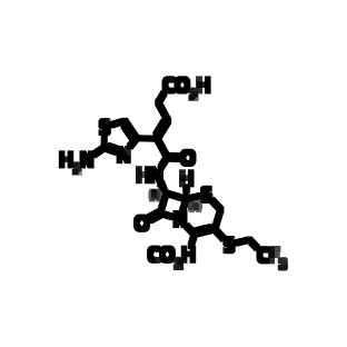 Nc1nc(C(=CCC(=O)O)C(=O)N[C@@H]2C(=O)N3C(C(=O)O)=C(SCC(F)(F)F)CS[C@@H]23)cs1